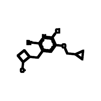 [O]C1CCC1Cc1cc(OCC2CC2)c(Cl)nc1Br